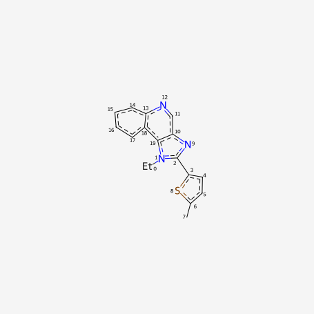 CCn1c(-c2ccc(C)s2)nc2cnc3ccccc3c21